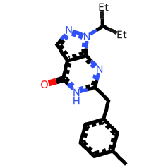 CCC(CC)n1ncc2c(=O)[nH]c(Cc3cccc(C)c3)nc21